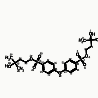 CC(C)(O)CCOS(=O)(=O)c1ccc(Oc2ccc(S(=O)(=O)OCCC(C)(C)O)cc2)cc1